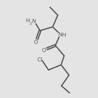 CCCC(CCl)CC(=O)NC(CC)C(N)=O